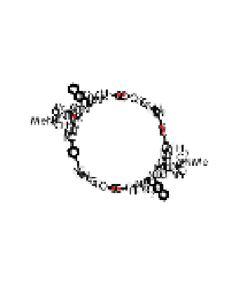 CN[C@@H](C)C(=O)N[C@H](C(=O)N1C[C@@H]2C[C@H]1C(=O)N[C@@H](Cc1ccc3ccccc3c1)C(=O)N[C@H](C(=O)O)Cc1ccc(cc1)OCCCn1cc(nn1)-c1ccc(cc1)-c1cn(nn1)[C@H]1C[C@@H](C(=O)N[C@@H](Cc3ccc4ccccc4c3)C(=O)N[C@H](C(=O)O)Cc3ccc(cc3)OCCCn3cc(nn3)-c3ccc(cc3)-c3cn2nn3)N(C(=O)[C@@H](NC(=O)[C@H](C)NC)C(C)C)C1)C(C)C